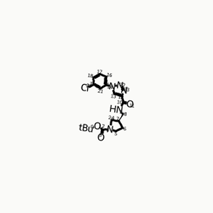 CC(C)(C)OC(=O)N1CC[C@H](CNC(=O)c2cn(-c3cccc(Cl)c3)nn2)C1